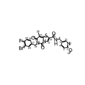 COc1ccc(CNC(=O)c2cn3c(=O)n(Cc4ccc(F)c(Br)c4)c(=O)c(C)c3s2)cn1